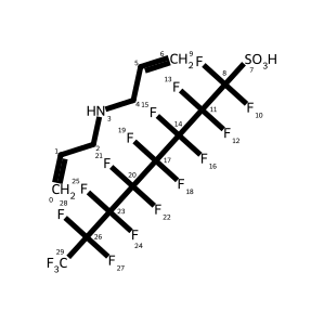 C=CCNCC=C.O=S(=O)(O)C(F)(F)C(F)(F)C(F)(F)C(F)(F)C(F)(F)C(F)(F)C(F)(F)C(F)(F)F